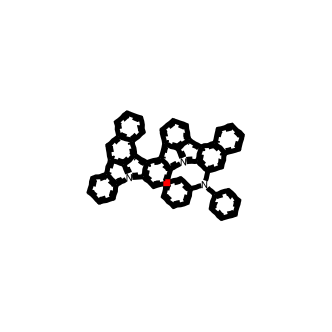 c1ccc(N(c2ccccc2)c2cc3ccccc3c3c4cccc5c6c7c8c9ccccc9cc9c%10ccccc%10n(c7ccc6n(c23)c54)c98)cc1